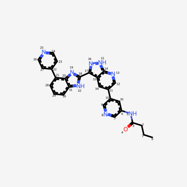 CCCC(=O)Nc1cncc(-c2cnc3[nH]nc(-c4nc5c(-c6ccncc6)cccc5[nH]4)c3c2)c1